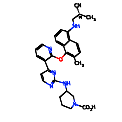 Cc1ccc2c(NC[C@@H](C)C#N)cccc2c1Oc1ncccc1-c1ccnc(NC2CCCN(C(=O)O)C2)n1